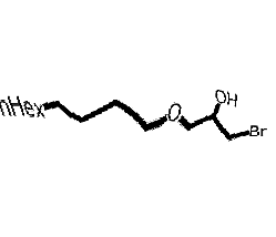 CCCCCCCCCCOCC(O)CBr